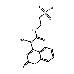 CN(C(=O)NCCS(=O)(=O)O)c1cc(=O)oc2ccccc12